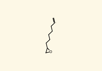 C=[C]CCCCCC1CO1